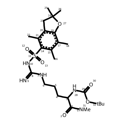 CNC(=O)C(CCCNC(=N)NS(=O)(=O)c1c(C)c(C)c2c(c1C)CC(C)(C)O2)NC(=O)OC(C)(C)C